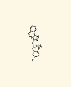 N[C@@H](Cc1nnc2c3ccccc3ccn12)CC1CC(F)=CC=C1F